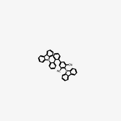 N#Cc1cc(-c2ccccc2-c2ccccc2-n2c3ccccc3c3ccccc32)cc(C#N)c1-n1c2ccccc2c2ccccc21